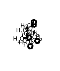 Cc1c(C)c([S+](c2ccccc2)c2ccccc2)c(C)c(C(C)(C)C)c1OC(C)(C)C(=O)OC1(C)C2CC3CC(C2)CC1C3